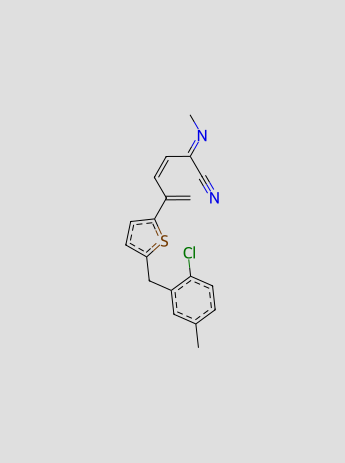 C=C(/C=C\C(C#N)=N/C)c1ccc(Cc2cc(C)ccc2Cl)s1